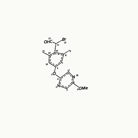 COc1cnc(Oc2cc(C)c(C(Br)C=O)c(C)c2)cn1